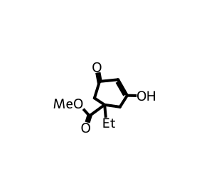 CCC1(C(=O)OC)CC(=O)C=C(O)C1